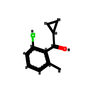 Cc1cccc(Cl)c1C(=O)C1CC1